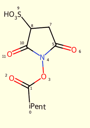 CCCC(C)C(=O)ON1C(=O)CC(S(=O)(=O)O)C1=O